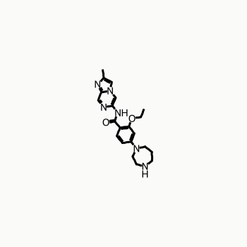 CCOc1cc(N2CCCNCC2)ccc1C(=O)Nc1cn2cc(C)nc2cn1